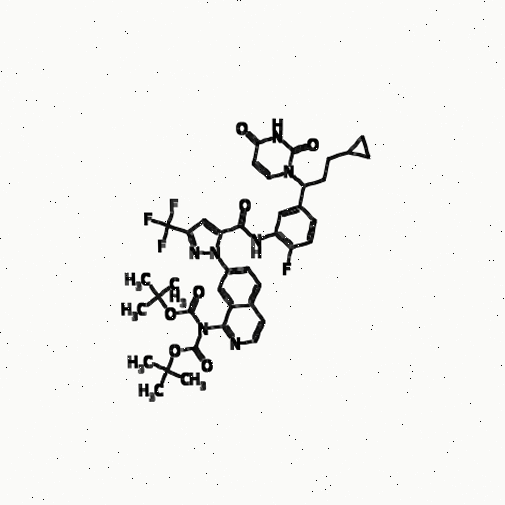 CC(C)(C)OC(=O)N(C(=O)OC(C)(C)C)c1nccc2ccc(-n3nc(C(F)(F)F)cc3C(=O)Nc3cc(C(CCC4CC4)n4ccc(=O)[nH]c4=O)ccc3F)cc12